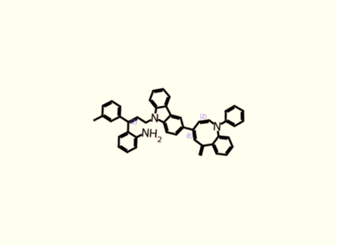 C=C1/C=C(c2ccc3c(c2)c2ccccc2n3C/C=C(/c2cccc(C)c2)c2ccccc2N)\C=C/N(c2ccccc2)c2ccccc21